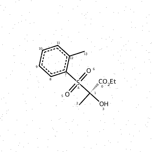 CCOC(=O)[C@@](C)(O)S(=O)(=O)c1ccccc1C